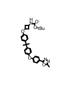 Cc1nnc(-c2ccc(Oc3ccc(C(C)(C)c4ccc(OC5CC(NC(=O)OC(C)(C)C)C5)cc4)cc3)cc2)o1